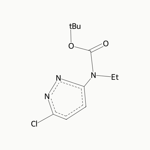 CCN(C(=O)OC(C)(C)C)c1ccc(Cl)nn1